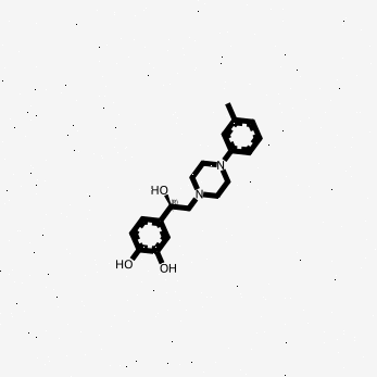 Cc1cccc(N2CCN(C[C@H](O)c3ccc(O)c(O)c3)CC2)c1